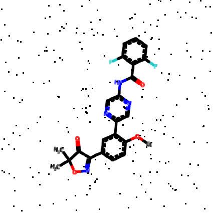 CCOc1ccc(C2=NOC(C)(C)C2=O)cc1-c1cnc(NC(=O)c2c(F)cccc2F)cn1